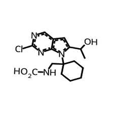 CC(O)c1cc2cnc(Cl)nc2n1C1(CNC(=O)O)CCCCC1